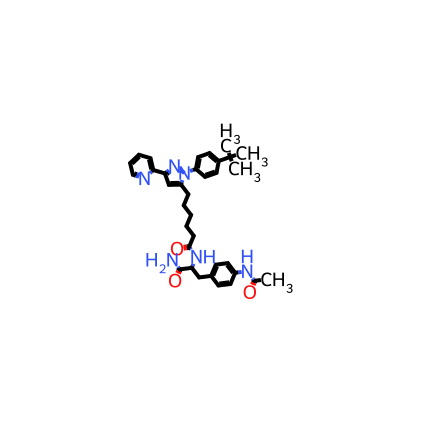 CC(=O)Nc1ccc(CC(NC(=O)CCCCCc2cc(-c3ccccn3)nn2-c2ccc(C(C)(C)C)cc2)C(N)=O)cc1